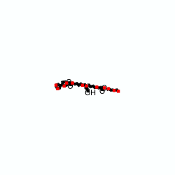 CCCCCCCOC(=O)CCCCCCCN(CCO)CCCCCCCC(=O)OC1CCC(C2CCCCC2)CC1